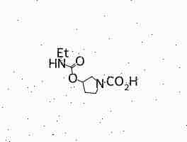 CCNC(=O)OC1CCN(C(=O)O)C1